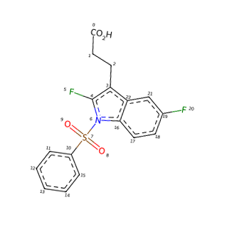 O=C(O)CCc1c(F)n(S(=O)(=O)c2ccccc2)c2ccc(F)cc12